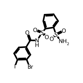 NS(=O)(=O)c1ccccc1S(=O)(=O)NC(=O)c1ccc(I)c(Br)c1